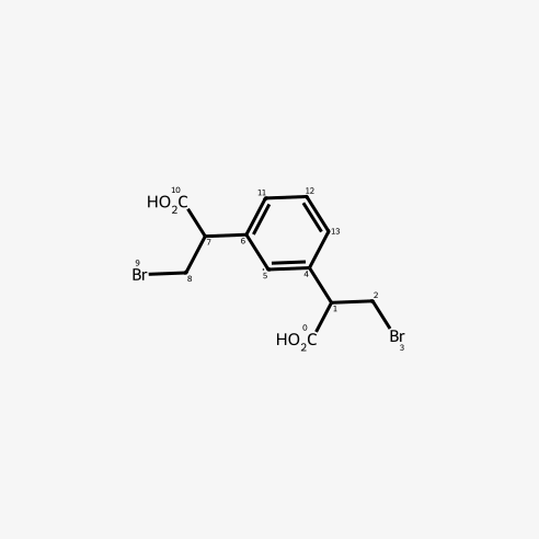 O=C(O)C(CBr)c1[c]c(C(CBr)C(=O)O)ccc1